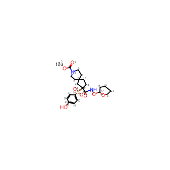 CC(C)(C)OC(=O)N1CCC2(CC1)CCC(C(=O)NOC1CCCCO1)(S(=O)(=O)c1ccc(O)cc1)C2